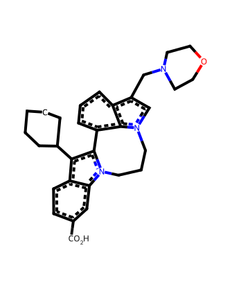 O=C(O)c1ccc2c(C3CCCCC3)c3n(c2c1)CCCn1cc(CN2CCOCC2)c2cccc-3c21